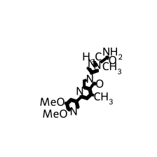 COc1cc(-c2cc(C)c3c(n2)CN(c2cnn(C(C)(C)C(N)=O)c2)C3=O)cnc1OC